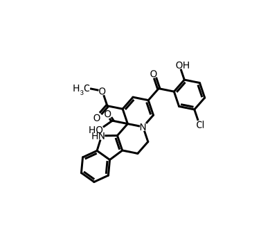 COC(=O)C1=CC(C(=O)c2cc(Cl)ccc2O)=CN2CCc3c([nH]c4ccccc34)C12C(=O)O